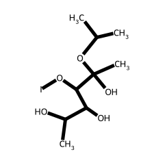 CC(C)OC(C)(O)C(OI)C(O)C(C)O